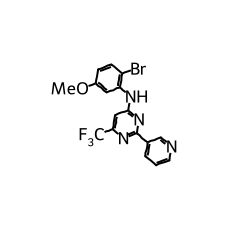 COc1ccc(Br)c(Nc2cc(C(F)(F)F)nc(-c3cccnc3)n2)c1